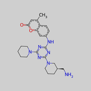 Cc1cc(=O)oc2cc(Nc3nc(N4CCCCC4)nc(N4CCC[C@H](CN)C4)n3)ccc12